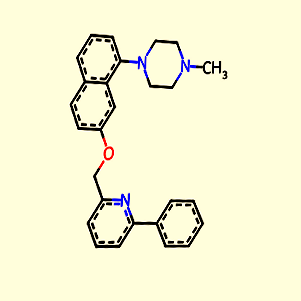 CN1CCN(c2cccc3ccc(OCc4cccc(-c5ccccc5)n4)cc23)CC1